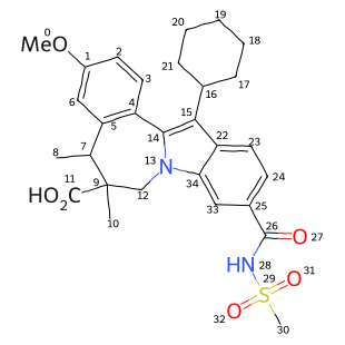 COc1ccc2c(c1)C(C)C(C)(C(=O)O)Cn1c-2c(C2CCCCC2)c2ccc(C(=O)NS(C)(=O)=O)cc21